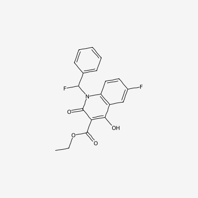 CCOC(=O)c1c(O)c2cc(F)ccc2n(C(F)c2ccccc2)c1=O